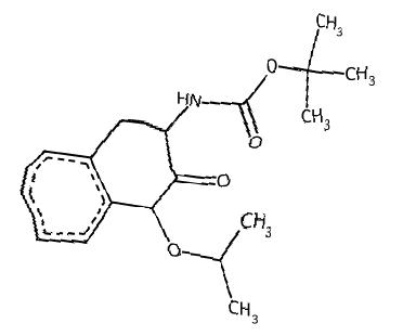 CC(C)OC1C(=O)C(NC(=O)OC(C)(C)C)Cc2ccccc21